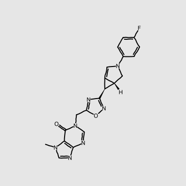 Cn1cnc2ncn(Cc3nc([C@H]4C5=CN(c6ccc(F)cc6)C[C@@H]54)no3)c(=O)c21